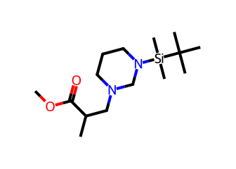 COC(=O)C(C)CN1CCCN([Si](C)(C)C(C)(C)C)C1